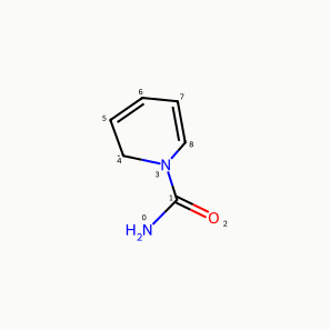 NC(=O)N1[CH]C=CC=C1